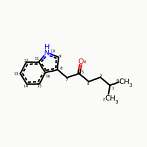 CC(C)CCC(=O)Cc1c[nH]c2ccccc12